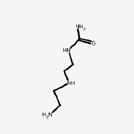 NCCNCCNC(N)=O